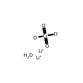 O.[Li+].[Li+].[O]=[Cr](=[O])([O-])[O-]